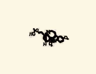 COC(=O)C12C[C@@H]3CC(CCOC(C)O)C1N(CCc1c2[nH]c2ccc(OC)cc12)C3